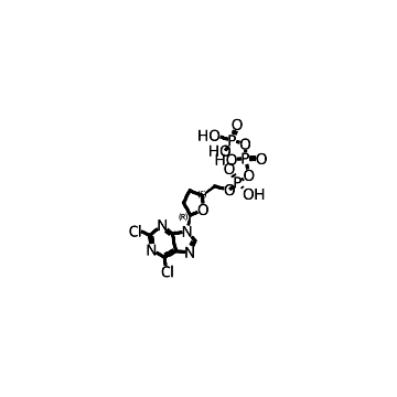 O=P(O)(O)OP(=O)(O)OP(=O)(O)OC[C@@H]1CC[C@H](n2cnc3c(Cl)nc(Cl)nc32)O1